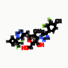 CO[C@@H]1[C@@H](n2cc(-c3ccc(C#N)c(F)c3F)nn2)[C@@H](O)[C@@H](CO)O[C@@H]1Cc1cn(C2(C(F)F)CCC2)nn1